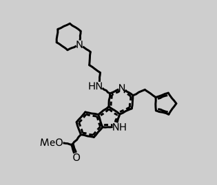 COC(=O)c1ccc2c(c1)[nH]c1cc(CC3=CCC=C3)nc(NCCCN3CCCCC3)c12